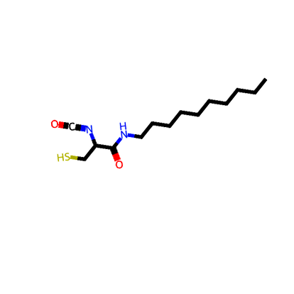 CCCCCCCCCCNC(=O)C(CS)N=C=O